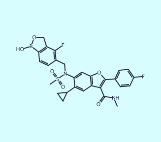 CNC(=O)c1c(-c2ccc(F)cc2)oc2cc(N(Cc3ccc4c(c3F)COB4O)S(C)(=O)=O)c(C3CC3)cc12